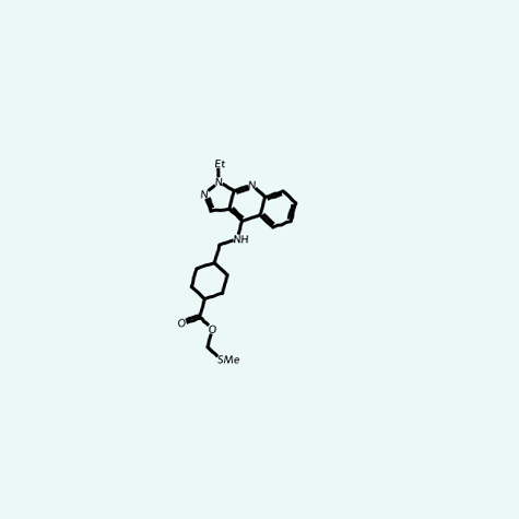 CCn1ncc2c(NCC3CCC(C(=O)OCSC)CC3)c3ccccc3nc21